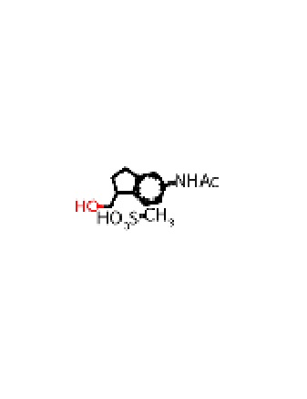 CC(=O)Nc1ccc2c(c1)CCC2CO.CS(=O)(=O)O